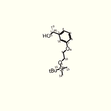 C[C@@H](O)c1cccc(OCCO[Si](C)(C)C(C)(C)C)c1